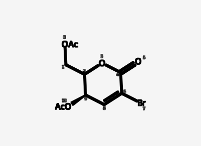 CC(=O)OCC1OC(=O)C(Br)=C[C@H]1OC(C)=O